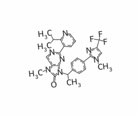 CC(C)c1ncccc1-c1ncc2c(n1)n(C(C)c1ccc(-c3nc(C(F)(F)F)cn3C)cc1)c(=O)n2C